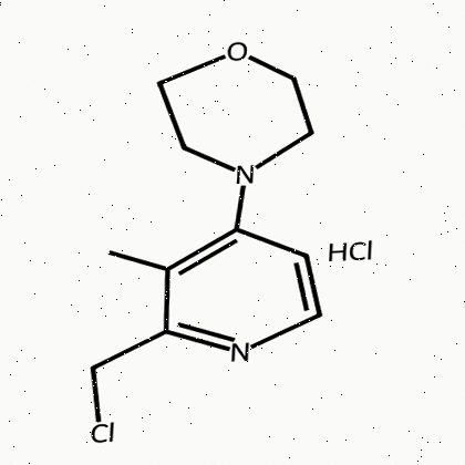 Cc1c(N2CCOCC2)ccnc1CCl.Cl